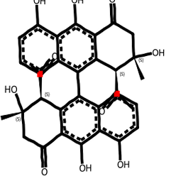 CC(=O)[C@H]1c2c(c(O)c3c(O)cccc3c2-c2c3c(c(O)c4c(O)cccc24)C(=O)C[C@](C)(O)[C@H]3C(C)=O)C(=O)C[C@]1(C)O